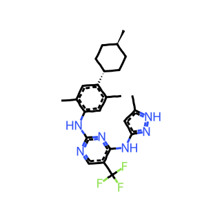 Cc1cc(Nc2nc(Nc3cc(C)c([C@H]4CC[C@H](C)CC4)cc3C)ncc2C(F)(F)F)n[nH]1